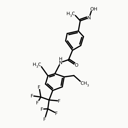 CCc1cc(C(F)(C(F)(F)F)C(F)(F)F)cc(C)c1NC(=O)c1ccc(/C(C)=N/O)cc1